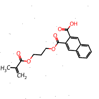 C=C(C)C(=O)OCCCOC(=O)c1cc2ccccc2cc1C(=O)O